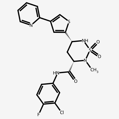 CN1[C@H](C(=O)Nc2ccc(F)c(Cl)c2)C[C@H](c2cc(-c3ccccn3)cs2)NS1(=O)=O